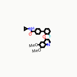 COc1cc2nccc(Oc3c(F)cccc3-c3ccc(C(=O)NC4CC4)cc3)c2cc1OC